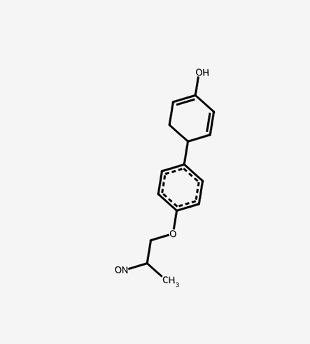 CC(COc1ccc(C2C=CC(O)=CC2)cc1)N=O